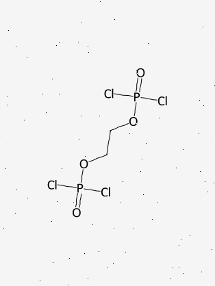 O=P(Cl)(Cl)OCCOP(=O)(Cl)Cl